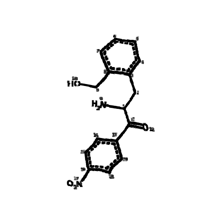 NC(Cc1ccccc1CO)C(=O)c1ccc([N+](=O)[O-])cc1